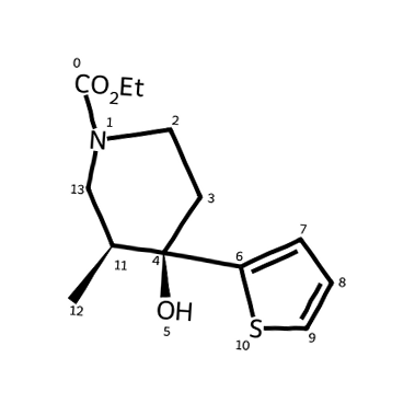 CCOC(=O)N1CC[C@](O)(c2cccs2)[C@@H](C)C1